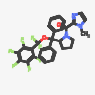 Cn1ccnc1C(=O)N1CCC[C@H]1C(OC(F)(F)c1c(F)c(F)c(F)c(F)c1F)(c1ccccc1)c1ccccc1